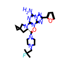 CC(C)(F)CN1CCN(C(=O)[C@@H]2CC3(CC3)CN2c2nc(N)n3nc(-c4ccco4)nc3n2)CC1